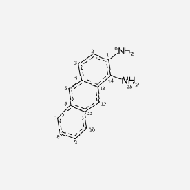 Nc1ccc2cc3ccccc3cc2c1N